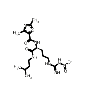 Cc1nc(C)c(C(=O)N[C@@H](CCCNC(=N)N[N+](=O)[O-])C(=O)NCCC(C)C)s1